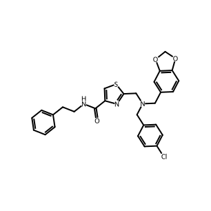 O=C(NCCc1ccccc1)c1csc(CN(Cc2ccc(Cl)cc2)Cc2ccc3c(c2)OCO3)n1